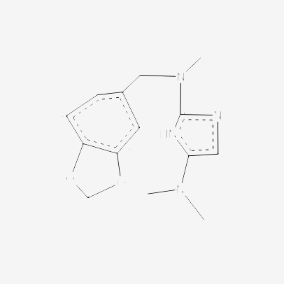 CN(C)c1cnc(N(C)Cc2ccc3c(c2)OCO3)[nH]1